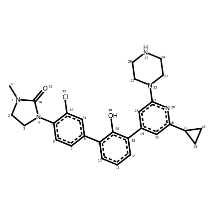 CN1CCN(c2ccc(-c3cccc(-c4cc(C5CC5)nc(N5CCNCC5)c4)c3O)cc2Cl)C1=O